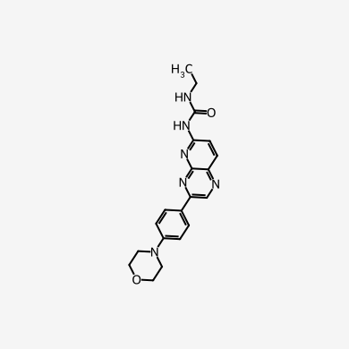 CCNC(=O)Nc1ccc2ncc(-c3ccc(N4CCOCC4)cc3)nc2n1